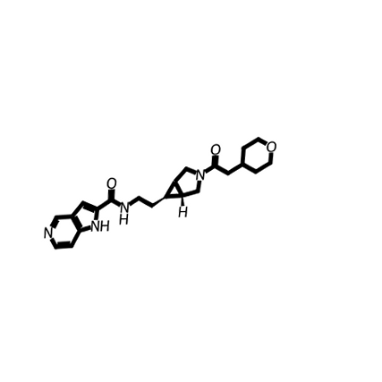 O=C(NCC[C@H]1C2CN(C(=O)CC3CCOCC3)C[C@@H]21)c1cc2cnccc2[nH]1